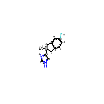 CC[C@]1(c2c[nH]cn2)Cc2ccc(F)cc2C1